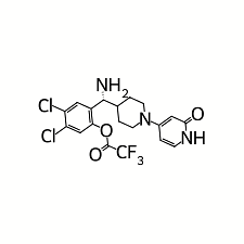 N[C@@H](c1cc(Cl)c(Cl)cc1OC(=O)C(F)(F)F)C1CCN(c2cc[nH]c(=O)c2)CC1